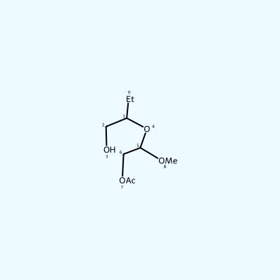 CCC(CO)OC(COC(C)=O)OC